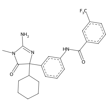 CN1C(=O)C(c2cccc(NC(=O)c3cccc(C(F)(F)F)c3)c2)(C2CCCCC2)N=C1N